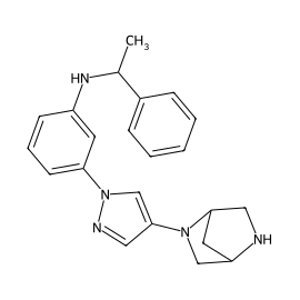 CC(Nc1cccc(-n2cc(N3CC4CC3CN4)cn2)c1)c1ccccc1